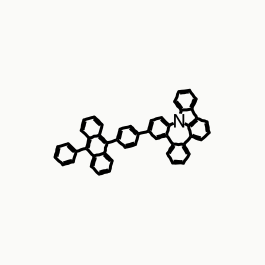 c1ccc(-c2c3ccccc3c(-c3ccc(-c4ccc5c(c4)-c4ccccc4-c4cccc6c7ccccc7n-5c46)cc3)c3ccccc23)cc1